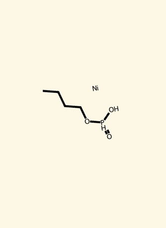 CCCCO[PH](=O)O.[Ni]